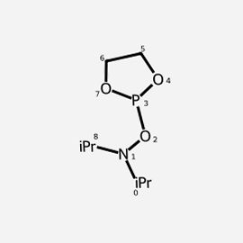 CC(C)N(OP1OCCO1)C(C)C